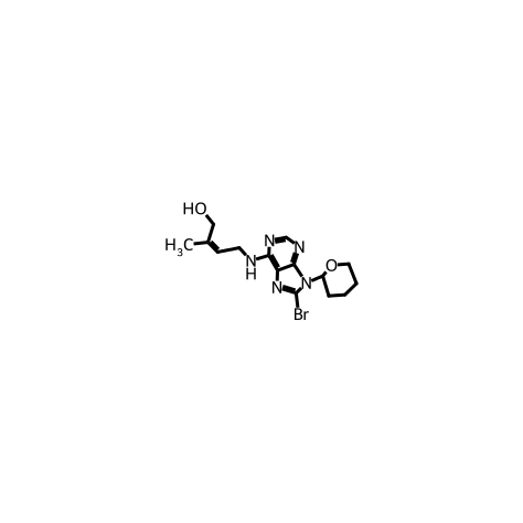 CC(=CCNc1ncnc2c1nc(Br)n2C1CCCCO1)CO